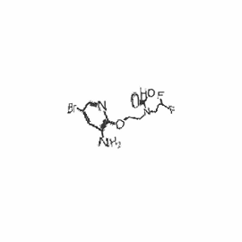 Nc1cc(Br)cnc1OCCN(CC(F)F)C(=O)O